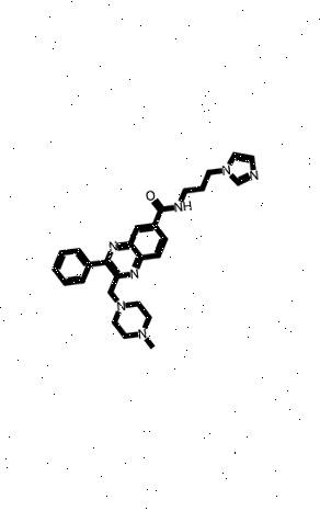 CN1CCN(Cc2nc3ccc(C(=O)NCCCn4ccnc4)cc3nc2-c2ccccc2)CC1